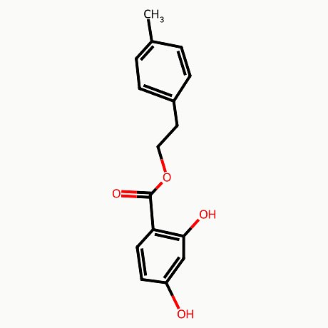 Cc1ccc(CCOC(=O)c2ccc(O)cc2O)cc1